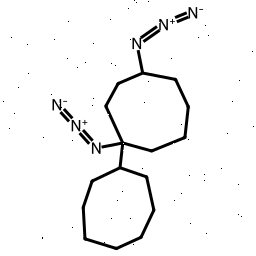 [N-]=[N+]=NC1CCCCC(N=[N+]=[N-])(C2CCCCCCC2)CC1